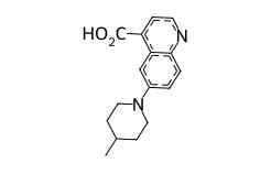 CC1CCN(c2ccc3nccc(C(=O)O)c3c2)CC1